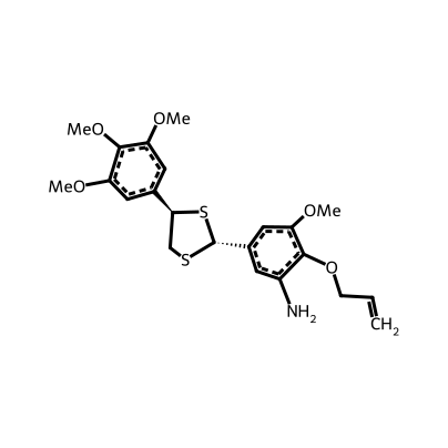 C=CCOc1c(N)cc([C@@H]2SC[C@@H](c3cc(OC)c(OC)c(OC)c3)S2)cc1OC